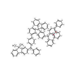 CC1(C)c2ccccc2-c2ccc(N(c3ccccc3)c3ccc(-c4cccc5c4-c4ccc(N(c6ccc(-c7ccccc7)cc6)c6ccccc6-c6ccccc6)cc4C5(c4ccccc4)c4ccccc4)cc3)cc21